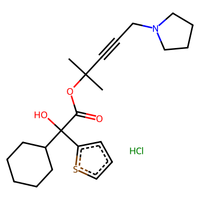 CC(C)(C#CCN1CCCC1)OC(=O)C(O)(c1cccs1)C1CCCCC1.Cl